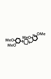 COc1ccc(CN2CCN(c3ccc(OC)c(OC)c3)CC2)c(OC)n1